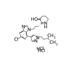 CC(C)CCn1cc(-c2cc(Cl)cc3ncn(CCC[C@H]4NCCC[C@@H]4O)c23)cn1.Cl.Cl